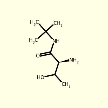 CC(O)[C@H](N)C(=O)NC(C)(C)C